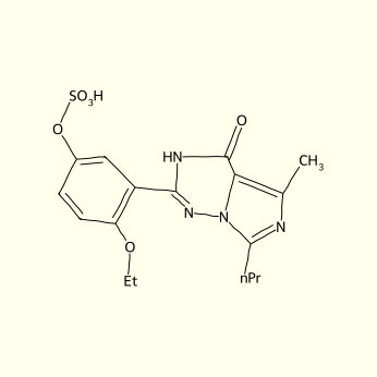 CCCc1nc(C)c2c(=O)[nH]c(-c3cc(OS(=O)(=O)O)ccc3OCC)nn12